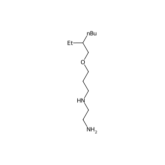 CCCCC(CC)COCCCNCCN